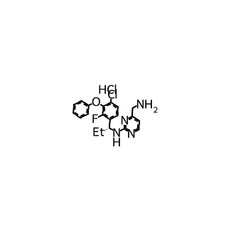 CC[C@@H](Nc1nccc(CN)n1)c1ccc(Cl)c(Oc2ccccc2)c1F.Cl